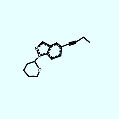 CCC#Cc1ccc2c(cnn2C2CCCCO2)c1